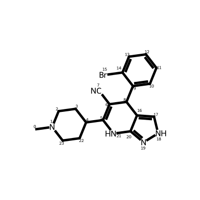 CN1CCC(C2=C(C#N)C(c3ccccc3Br)c3c[nH]nc3N2)CC1